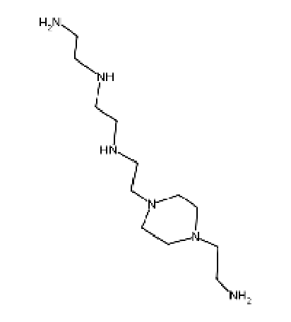 NCCNCCNCCN1CCN(CCN)CC1